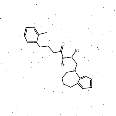 CCC(CN1CCCCc2ccccc21)N(CC)C(=O)CCCc1ccccc1F